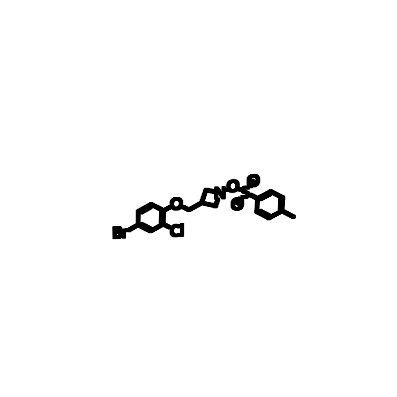 Cc1ccc(S(=O)(=O)ON2CC(COc3ccc(Br)cc3Cl)C2)cc1